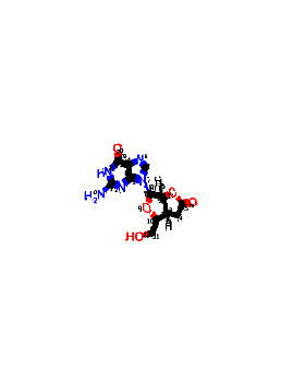 Nc1nc2c(ncn2[C@@H]2OC(CO)[C@H]3CC(=O)O[C@H]32)c(=O)[nH]1